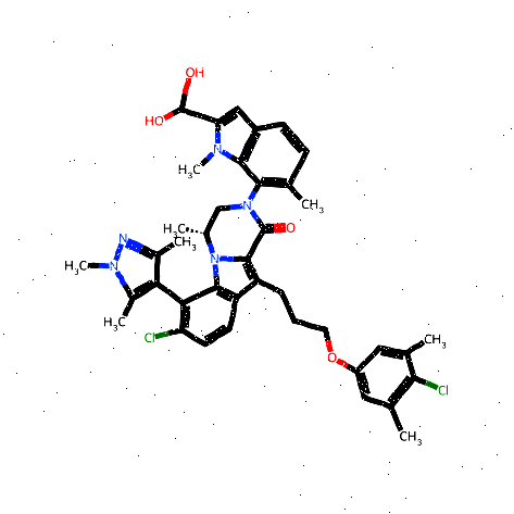 Cc1cc(OCCCc2c3n(c4c(-c5c(C)nn(C)c5C)c(Cl)ccc24)[C@H](C)CN(c2c(C)ccc4cc(C(O)O)n(C)c24)C3=O)cc(C)c1Cl